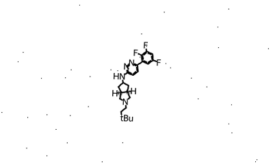 CC(C)(C)CCN1C[C@H]2CC(Nc3ccc(-c4cc(F)cc(F)c4F)nn3)C[C@H]2C1